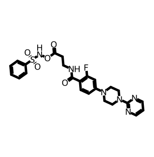 O=C(CCNC(=O)c1ccc(N2CCN(c3ncccn3)CC2)cc1F)ONS(=O)(=O)c1ccccc1